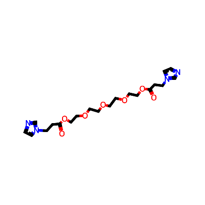 O=C(CCn1ccnc1)OCCOCCOCCOCCOC(=O)CCn1ccnc1